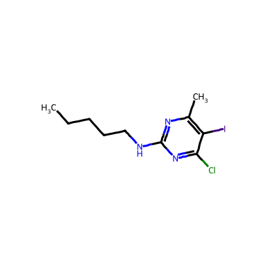 CCCCCNc1nc(C)c(I)c(Cl)n1